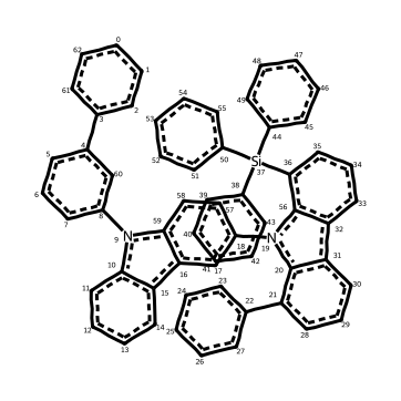 c1ccc(-c2cccc(-n3c4ccccc4c4cc(-n5c6c(-c7ccccc7)cccc6c6cccc([Si](c7ccccc7)(c7ccccc7)c7ccccc7)c65)ccc43)c2)cc1